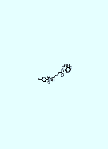 Nc1ccccc1NC(=O)CCCCCNS(=O)(=O)c1ccc(F)cc1